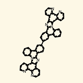 c1cnc2c(c1)c1nc3c4ccc(-c5ccc6c(c5)c5ccccc5n5c6nc6c7cccnc7c7ncccc7c65)cc4c4ccccc4n3c1c1cccnc12